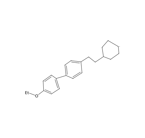 CCOc1ccc(-c2ccc(CCC3CC[CH]CC3)cc2)cc1